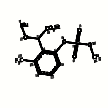 CCOC(=O)C(OC(C)(C)C)c1c(OS(=O)(=O)OC(F)(F)F)cccc1C(F)(F)F